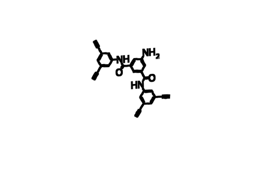 C#Cc1cc(C#C)cc(NC(=O)c2cc(N)cc(C(=O)Nc3cc(C#C)cc(C#C)c3)c2)c1